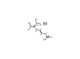 CC(C)P(CC=CCN(C)C)C(C)C.[Pd]